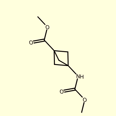 COC(=O)NC12CC(C(=O)OC)(C1)C2